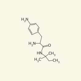 CCC(C)(C)NC(=O)C(N)Cc1ccc(N)cc1